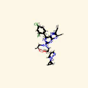 Cc1nc2nc(N3C[C@H](C)O[C@@H](c4cnn(C5CC5)c4)C3)nc(-c3ccc(Cl)cc3F)c2nc1C